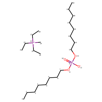 CCCCCCCCOP(=O)([O-])OCCCCCCCC.CC[P+](C)(CC)CC